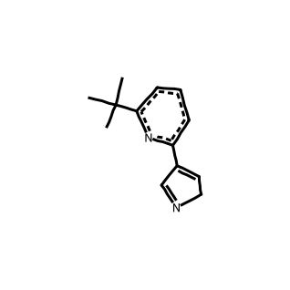 CC(C)(C)c1cccc(C2=CCN=C2)n1